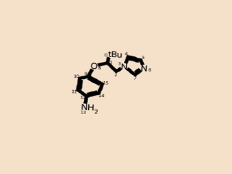 CC(C)(C)C(Cn1ccnc1)Oc1ccc(N)cc1